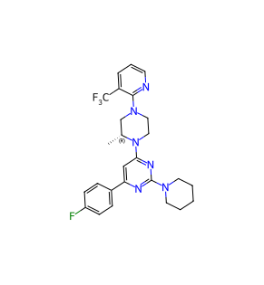 C[C@@H]1CN(c2ncccc2C(F)(F)F)CCN1c1cc(-c2ccc(F)cc2)nc(N2CCCCC2)n1